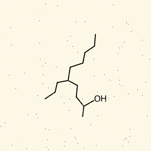 CCCCCC(CCC)CCC(C)O